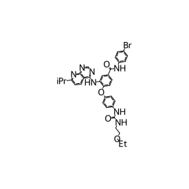 CCOCCNC(=O)Nc1ccc(Oc2ccc(C(=O)Nc3ccc(Br)cc3)cc2Nc2ncnc3nc(C(C)C)ccc23)cc1